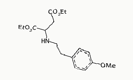 CCOC(=O)CC(NCCc1ccc(OC)cc1)C(=O)OCC